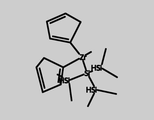 C[SiH](C)[Si]([SiH](C)C)([SiH](C)C)[Zr]([CH3])([C]1=CC=CC1)[C]1=CC=CC1